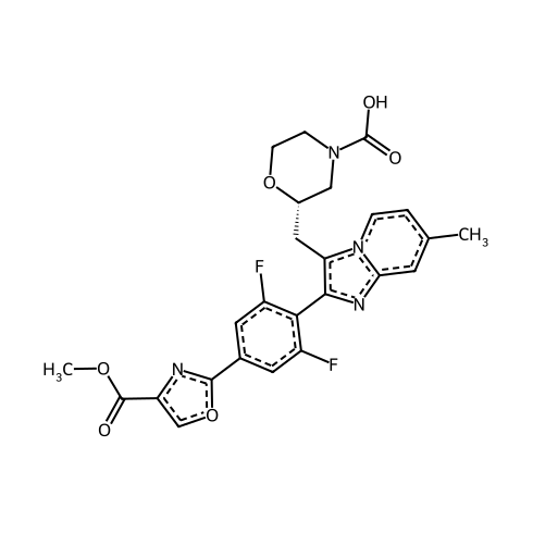 COC(=O)c1coc(-c2cc(F)c(-c3nc4cc(C)ccn4c3C[C@H]3CN(C(=O)O)CCO3)c(F)c2)n1